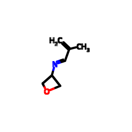 C=C(C)C=NC1COC1